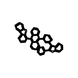 c1ccc(-c2oc3ccccc3c2-c2cccc(-c3c4ccccc4c(-c4cccc5c4sc4ccccc45)c4ccccc34)c2)cc1